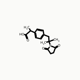 CC(C(=O)O)c1ccc(CC(C)(C)N2C(=O)CCC2=O)cc1